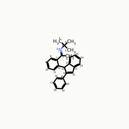 C/C(=N\C(C)(C)C)c1ccccc1C1C(c2ccccc2)=Cc2ccccc21